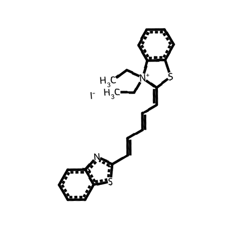 CC[N+]1(CC)C(=CC=CC=Cc2nc3ccccc3s2)Sc2ccccc21.[I-]